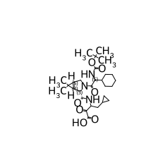 CC(C)(C)OC(=O)N[C@H](C(=O)N1C[C@H]2[C@@H]([C@H]1C(=O)NC(CC1CC1)C(=O)C(=O)O)C2(C)C)C1CCCCC1